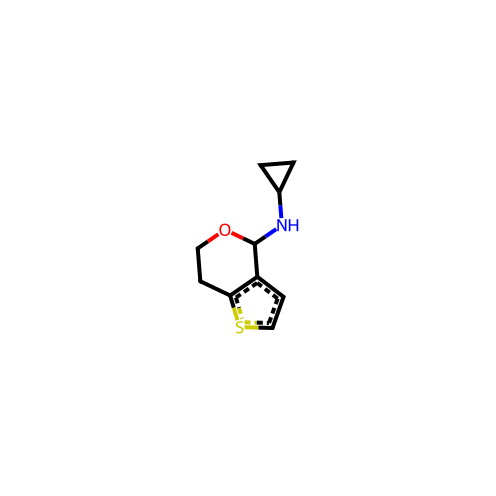 c1cc2c(s1)CCOC2NC1CC1